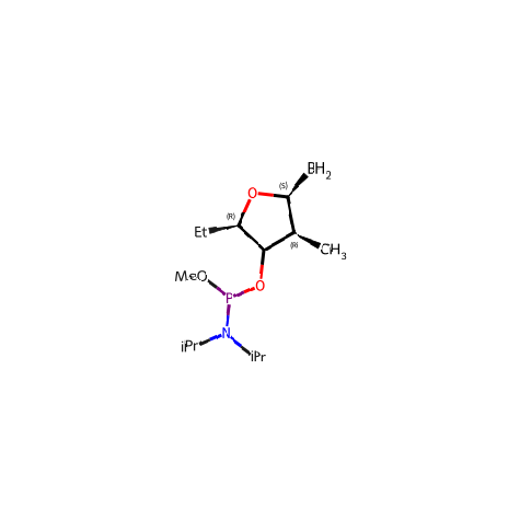 B[C@@H]1O[C@H](CC)C(OP(OC)N(C(C)C)C(C)C)[C@@H]1C